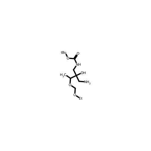 CCOCOC(C)C(O)(CN)CNC(=O)OC(C)(C)C